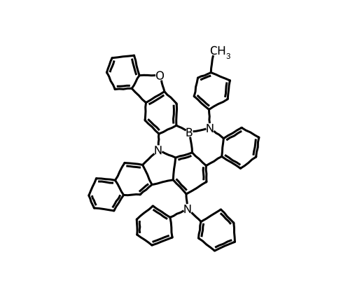 Cc1ccc(N2B3c4cc5oc6ccccc6c5cc4-n4c5cc6ccccc6cc5c5c(N(c6ccccc6)c6ccccc6)cc(c3c54)-c3ccccc32)cc1